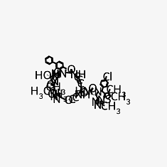 Cc1sc2c(c1C)C(c1ccc(Cl)cc1)=N[C@@H](CC(=O)NC[C@H]1CCCNC(=O)[C@@H](Cc3ccc(-c4ccccc4)cc3)NC(=O)[C@@H]3C[C@@H](O)CN3C(=O)[C@H](C(C)(C)C)n3cc(nn3)COCCNC1=O)c1nnc(C)n1-2